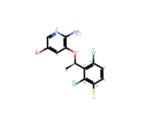 C[C@@H](Oc1cc(Br)cnc1N)c1c(Cl)ccc(F)c1Cl